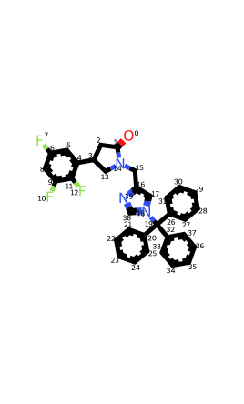 O=C1CC(c2cc(F)cc(F)c2F)CN1Cc1cn(C(c2ccccc2)(c2ccccc2)c2ccccc2)cn1